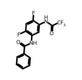 O=C(Nc1cc(NC(=O)C(F)(F)F)c(F)cc1F)c1ccccc1